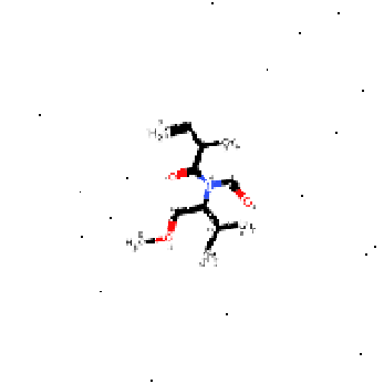 C=CC(C)C(=O)N(C=O)C(COC)C(C)C